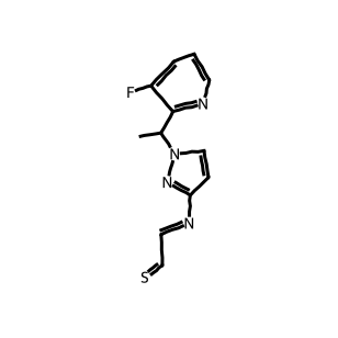 CC(c1ncccc1F)n1ccc(N=CC=S)n1